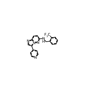 FC(F)(F)c1ccccc1CNc1ccc2ncc(-c3ccncc3)n2n1